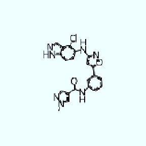 Cn1cc(C(=O)Nc2cccc(-c3cc(Nc4ccc5[nH]ncc5c4Cl)no3)c2)cn1